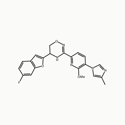 COc1nc(C2=NOCC(c3cc4ccc(F)cc4o3)N2)ccc1-n1cnc(C)c1